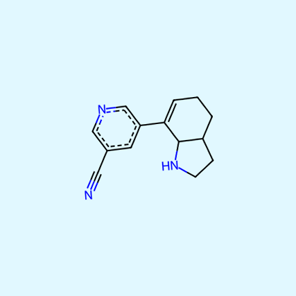 N#Cc1cncc(C2=CCCC3CCNC23)c1